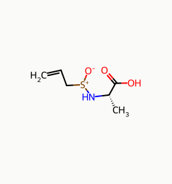 C=CC[S+]([O-])N[C@@H](C)C(=O)O